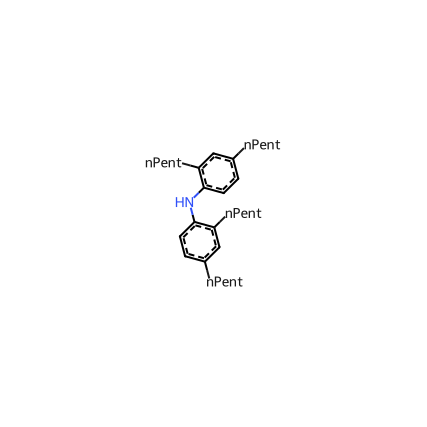 CCCCCc1ccc(Nc2ccc(CCCCC)cc2CCCCC)c(CCCCC)c1